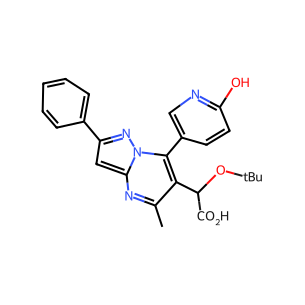 Cc1nc2cc(-c3ccccc3)nn2c(-c2ccc(O)nc2)c1C(OC(C)(C)C)C(=O)O